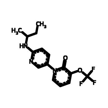 CCC(C)Nc1ccc(-n2cccc(OC(F)(F)F)c2=O)cn1